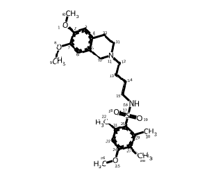 COc1cc2c(cc1OC)CN(CCCCNS(=O)(=O)c1c(C)cc(OC)c(C)c1C)CC2